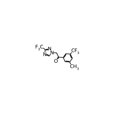 Cc1cc(C(=O)Cn2cnc(C(F)(F)F)n2)cc(C(F)(F)F)c1